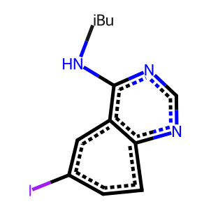 CCC(C)Nc1ncnc2ccc(I)cc12